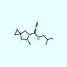 C=C=C(NCC(C)C)N1CC2(CC2)C[C@@H]1C